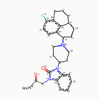 CNC(=O)Cn1c(=O)n(C2CCN(C3CCC4CCCc5c(F)ccc3c54)CC2)c2ccccc21